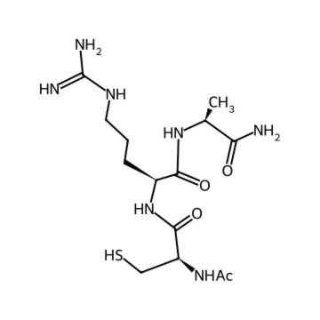 CC(=O)N[C@@H](CS)C(=O)N[C@@H](CCCNC(=N)N)C(=O)N[C@@H](C)C(N)=O